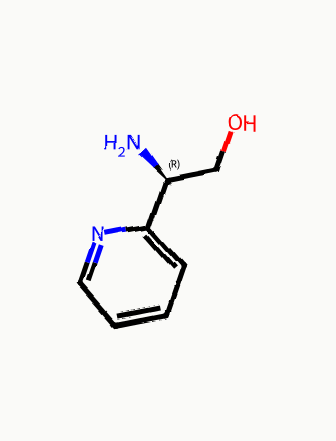 N[C@@H](CO)c1ccccn1